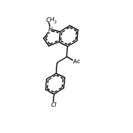 CC(=O)C(Cc1ccc(Cl)cc1)c1cccc2c1ccn2C